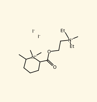 CC[N+](C)(CC)CCOC(=O)C1CCCC(C)[N+]1(C)C.[I-].[I-]